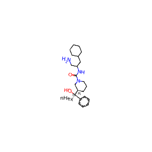 CCCCCC[C@@](O)(c1ccccc1)[C@@H]1CCCN(C(=O)NC(CN)CC2CCCCC2)C1